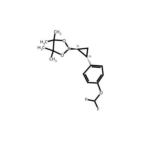 CC1(C)OB([C@H]2C[C@@H]2c2ccc(OC(F)F)cc2)OC1(C)C